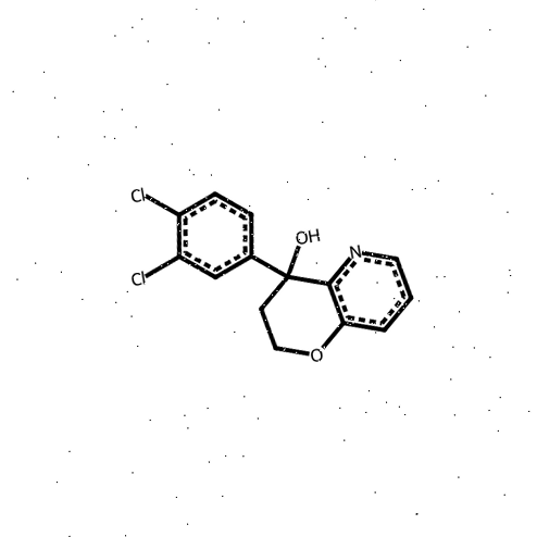 OC1(c2ccc(Cl)c(Cl)c2)CCOc2cccnc21